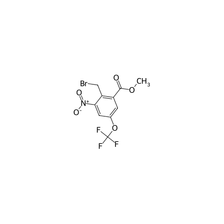 COC(=O)c1cc(OC(F)(F)F)cc([N+](=O)[O-])c1CBr